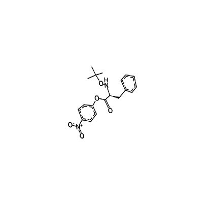 CC(C)(C)ON[C@@H](Cc1ccccc1)C(=O)Oc1ccc([N+](=O)[O-])cc1